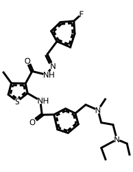 CCN(CC)CCN(C)Cc1cccc(C(=O)Nc2scc(C)c2C(=O)N/N=C/c2ccc(F)cc2)c1